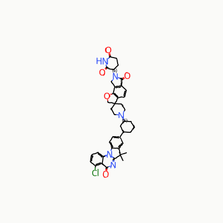 CC1(C)c2cc(C3CCC[C@H](N4CCC5(CC4)COc4c5ccc5c4CN([C@H]4CCC(=O)NC4=O)C5=O)C3)ccc2-n2c1nc(=O)c1c(Cl)cccc12